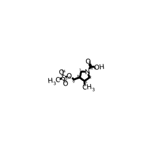 CC1CN(C(=O)O)CC1COS(C)(=O)=O